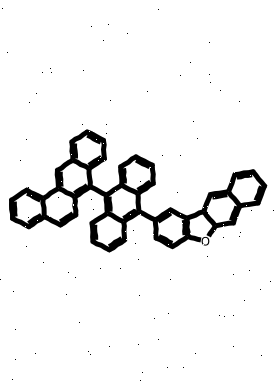 C1=c2ccccc2=CC2c3cc(-c4c5ccccc5c(-c5c6ccccc6cc6c5ccc5ccccc56)c5ccccc45)ccc3OC12